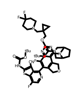 CC(C)(C)OC(=O)Nc1sc2c(F)cnc(-c3c4c(c5c(N6C7CCC6CN(C(=O)OC(C)(C)C)C7)nc(OCC6(CN7CCC(F)(F)CC7)CC6)nc5c3F)COC4)c2c1C#N